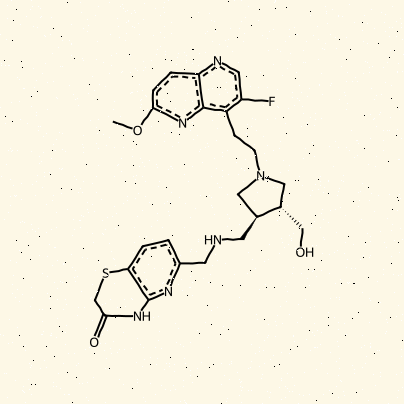 COc1ccc2ncc(F)c(CCN3C[C@H](CO)[C@@H](CNCc4ccc5c(n4)NC(=O)CS5)C3)c2n1